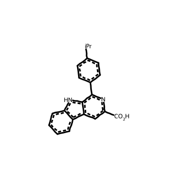 CC(C)c1ccc(-c2nc(C(=O)O)cc3c2[nH]c2ccccc23)cc1